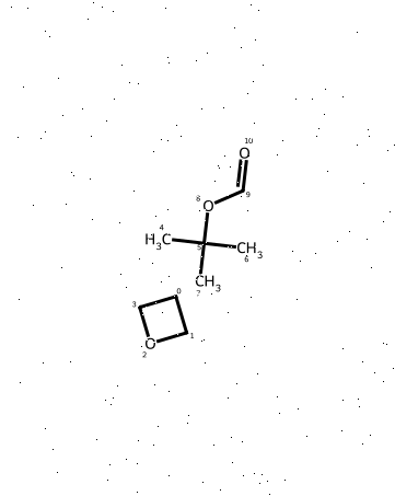 C1COC1.CC(C)(C)OC=O